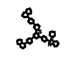 c1ccc(-n2c(-c3ccc(-c4cc(-c5ccc(-c6cccc7ccccc67)cc5)cc5c4sc4ccc(-c6ccc(-c7cccc8ccccc78)cc6)cc45)cc3)nc3ccccc32)cc1